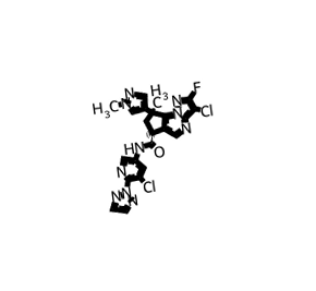 Cn1cc([C@@]2(C)C[C@@H](C(=O)Nc3cnc(-n4nccn4)c(Cl)c3)c3cnc4c(Cl)c(F)nn4c32)cn1